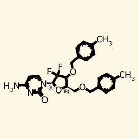 Cc1ccc(COC[C@H]2O[C@@H](n3ccc(N)nc3=O)C(F)(F)C2OCc2ccc(C)cc2)cc1